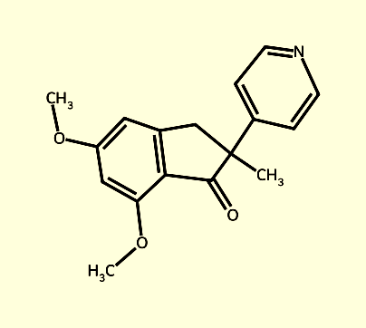 COc1cc2c(c(OC)c1)C(=O)C(C)(c1ccncc1)C2